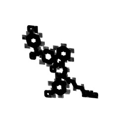 CSCCCn1c(CN2C(=O)C3(CCN([S+]([O-])c4ccc(C#N)cc4)CC3)c3ccccc32)nc2cc(Cl)ccc21